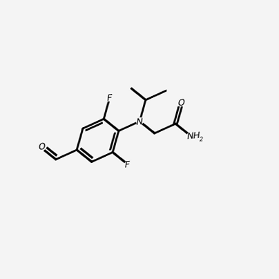 CC(C)N(CC(N)=O)c1c(F)cc(C=O)cc1F